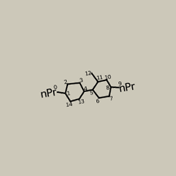 CCCC1CCC(C2CCC(CCC)CC2C)CC1